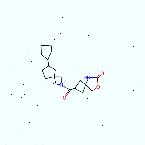 O=C1NC2(CO1)CC(C(=O)N1CC3(CCC(C4CCCC4)C3)C1)C2